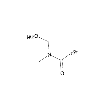 CCCC(=O)N(C)COC